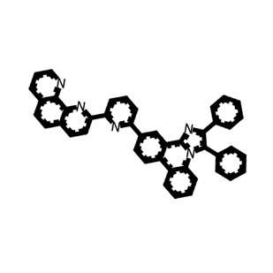 c1ccc(-c2nc3c4cc(-c5cccc(-c6ccc7ccc8cccnc8c7n6)n5)ccc4c4ccccc4n3c2-c2ccccc2)cc1